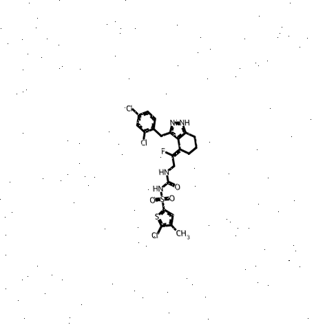 Cc1cc(S(=O)(=O)NC(=O)NCC(F)=C2CCCc3[nH]nc(Cc4ccc(Cl)cc4Cl)c32)sc1Cl